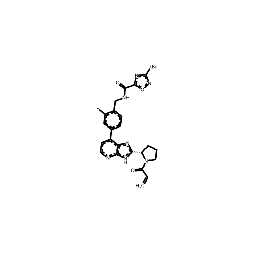 C=CC(=O)N1CCC[C@H]1c1nc2c(-c3ccc(CNC(=O)c4nc(C(C)(C)C)no4)c(F)c3)ccnc2[nH]1